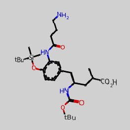 CC(CC(Cc1ccc(O[Si](C)(C)C(C)(C)C)c(NC(=O)CCCN)c1)NC(=O)OC(C)(C)C)C(=O)O